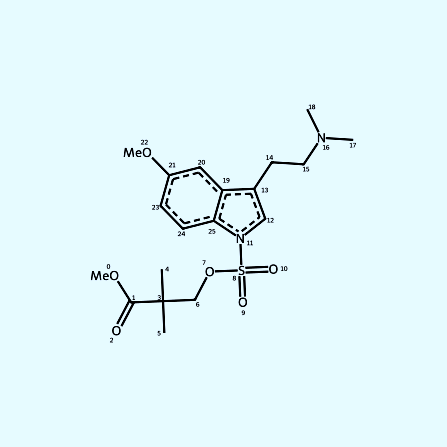 COC(=O)C(C)(C)COS(=O)(=O)n1cc(CCN(C)C)c2cc(OC)ccc21